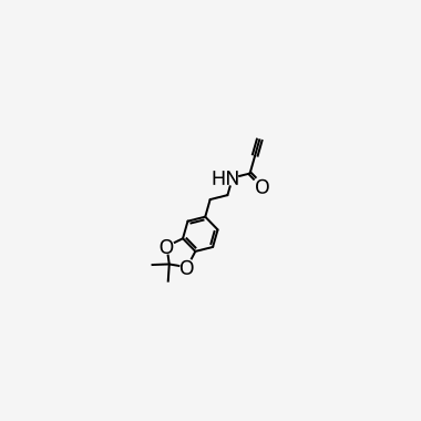 C#CC(=O)NCCc1ccc2c(c1)OC(C)(C)O2